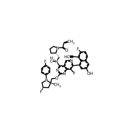 C#Cc1c(F)ccc2cc(O)cc(-c3ncc4c(N(C)C[C@@H]5CCCN5C(=O)C=C)nc(OC[C@]5(C)C[C@@H](F)CN5c5ccc(F)cc5)nc4c3F)c12